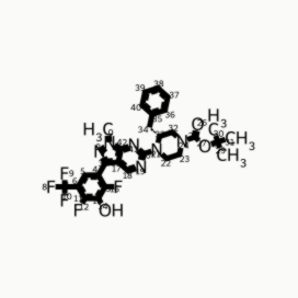 Cn1nc(-c2cc(C(F)(F)F)c(F)c(O)c2F)c2cnc(N3CCN(C(=O)OC(C)(C)C)C[C@H]3Cc3ccccc3)nc21